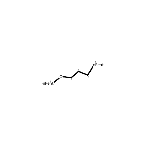 [CH2]CCC[CH]OCCCCCCCC